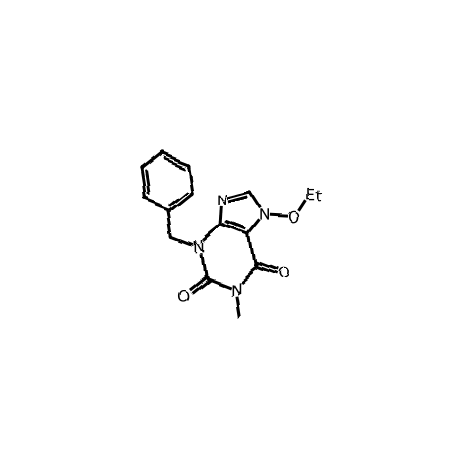 CCOn1cnc2c1c(=O)n(C)c(=O)n2Cc1ccccc1